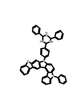 c1ccc(C2NC(c3ccccc3)NC(c3ccc(-n4c5cc6oc7ccccc7c6cc5c5c6c7ccccc7n(-c7ccccc7)c6ccc54)cc3)N2)cc1